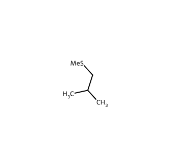 CSCC(C)C